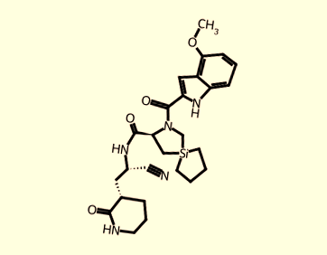 COc1cccc2[nH]c(C(=O)N3C[Si]4(CCCC4)C[C@H]3C(=O)N[C@H](C#N)C[C@@H]3CCCNC3=O)cc12